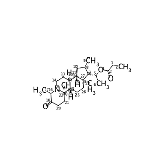 CCC(=O)OC(C)[C@H]1C(C)C[C@H]2[C@@H]3CCN4C(C)C(=O)CC[C@]4(C)[C@H]3CC[C@]12C